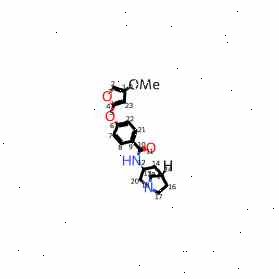 COc1coc(Oc2ccc(C(=O)N[C@@H]3C[C@@H]4CCN(C4)C3)cc2)c1